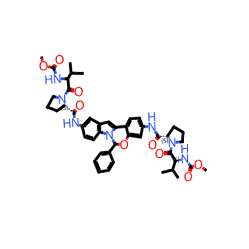 COC(=O)NC(C(=O)N1CCC[C@H]1C(=O)Nc1ccc2c(c1)cc1n2C(c2ccccc2)Oc2cc(NC(=O)[C@@H]3CCCN3C(=O)[C@@H](NC(=O)OC)C(C)C)ccc2-1)C(C)C